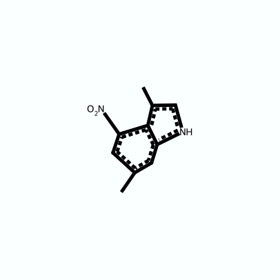 Cc1cc([N+](=O)[O-])c2c(C)c[nH]c2c1